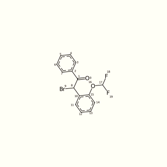 O=C(c1ccccc1)C(Br)c1ccccc1OC(F)F